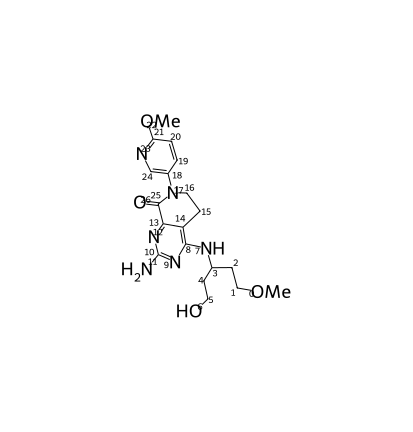 COCCC(CCO)Nc1nc(N)nc2c1CCN(c1ccc(OC)nc1)C2=O